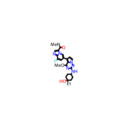 CCC1(O)CCC(Nc2nc(OC)c3c(-c4cc(F)c5ncc(C(=O)NC)n5c4)ccn3n2)CC1